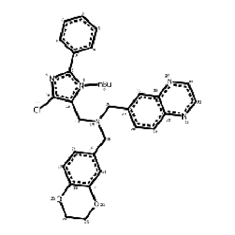 CCCCn1c(-c2ccccc2)nc(Cl)c1CN(Cc1ccc2c(c1)OCCO2)Cc1ccc2nccnc2c1